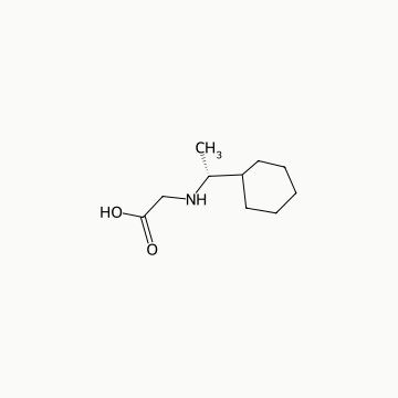 C[C@@H](NCC(=O)O)C1CCCCC1